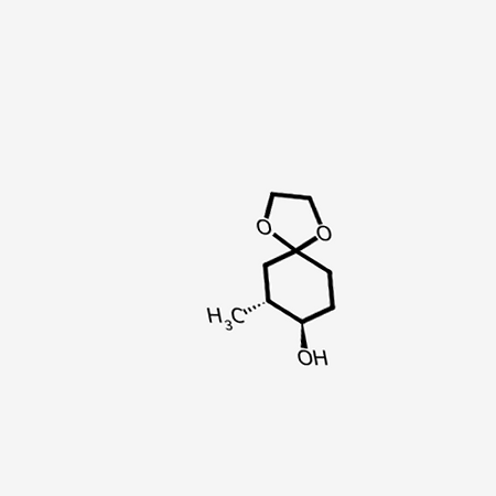 C[C@@H]1CC2(CC[C@H]1O)OCCO2